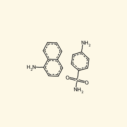 Nc1ccc(S(N)(=O)=O)cc1.Nc1cccc2ccccc12